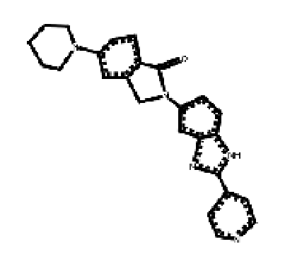 O=C1c2ccc(N3CCCCC3)cc2CN1c1ccc2[nH]c(-c3ccncc3)nc2c1